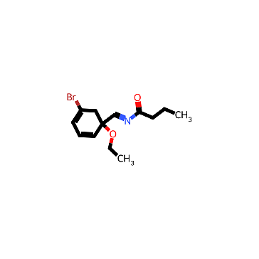 CCCC(=O)N=CC1(OCC)C=CC=C(Br)C1